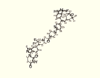 Cn1nc(N2CCC(=O)NC2=O)c2ccc(C3CCN(CC(=O)N4CCN(c5ccc(C(=CC6CC(C)(C)OC(C)(C)C6)c6ccc7[nH]nc(F)c7c6)cn5)CC4)CC3(F)F)cc21